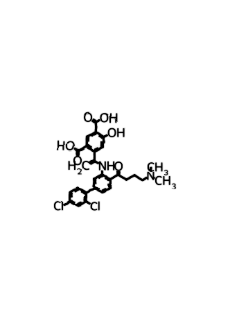 C=C(Nc1cc(-c2ccc(Cl)cc2Cl)ccc1C(=O)CCCN(C)C)c1cc(O)c(C(=O)O)cc1C(=O)O